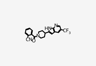 N#Cc1ccccc1C(=O)N1CCC(c2cc3cc(C(F)(F)F)cnc3[nH]2)CC1